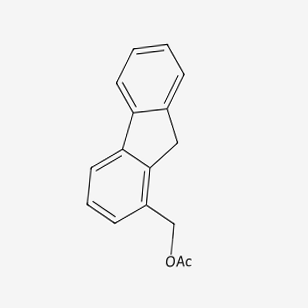 [CH2]C(=O)OCc1cccc2c1Cc1ccccc1-2